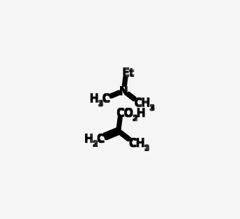 C=C(C)C(=O)O.CCN(C)C